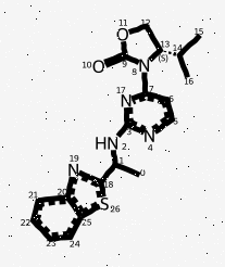 CC(Nc1nccc(N2C(=O)OC[C@@H]2C(C)C)n1)c1nc2ccccc2s1